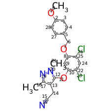 COc1ccc(COc2cc(Oc3c(CC#N)c(C)nn3C)c(Cl)cc2Cl)cc1